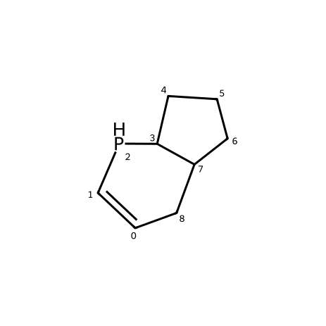 C1=CPC2CCCC2C1